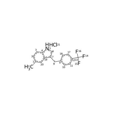 Cc1ccc2[nH]cc([CH]c3ccc(C(F)(F)F)cc3)c2c1.Cl